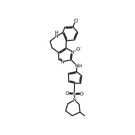 CC1CCCN(S(=O)(=O)c2ccc(Nc3ncc4c([n+]3[O-])-c3ccc(Cl)cc3NCC4)cc2)C1